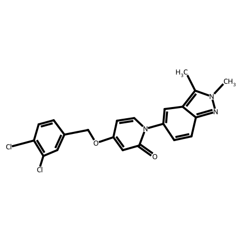 Cc1c2cc(-n3ccc(OCc4ccc(Cl)c(Cl)c4)cc3=O)ccc2nn1C